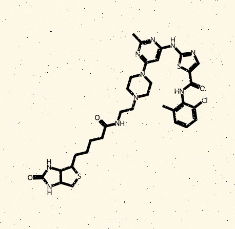 Cc1nc(Nc2ncc(C(=O)Nc3c(C)cccc3Cl)s2)cc(N2CCN(CCNC(=O)CCCCC3SCC4NC(=O)NC43)CC2)n1